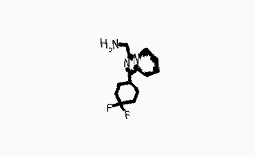 NCc1nc(C2CCC(F)(F)CC2)c2ccccn12